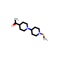 CSN1CCC(N2CCC(C(C)=O)CC2)CC1